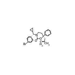 C=C(C)C[C@@]1(c2ccccc2)CCN([C@H](c2ccc(Br)cc2)C2CC2)C(=O)O1